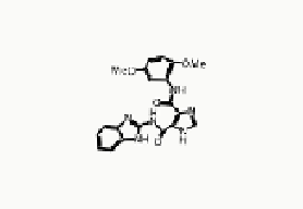 COc1ccc(OC)c(NC(=O)c2nc[nH]c2C(=O)Nc2nc3ccccc3[nH]2)c1